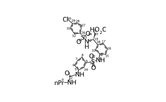 CCCNC(=O)Nc1cccc(S(=O)(=O)Nc2cccc([C@H](CC(=O)O)NS(=O)(=O)c3ccc(Cl)cc3)c2)c1